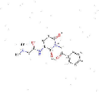 CCN(CC)CC(=O)NC1CCC(=O)N(CC(=O)c2ccccc2)C1=O